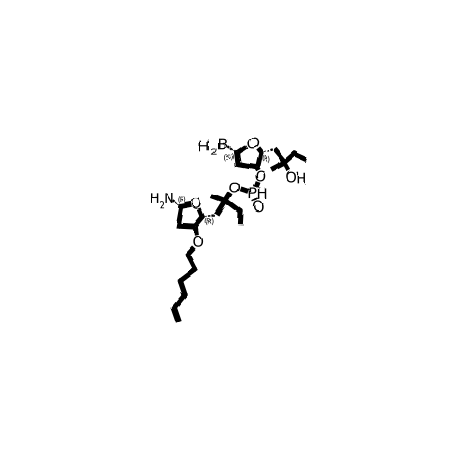 B[C@H]1CC(O[PH](=O)OC(C)(CC)C[C@H]2O[C@@H](N)CC2OCCCCCC)[C@@H](CC(C)(O)CC)O1